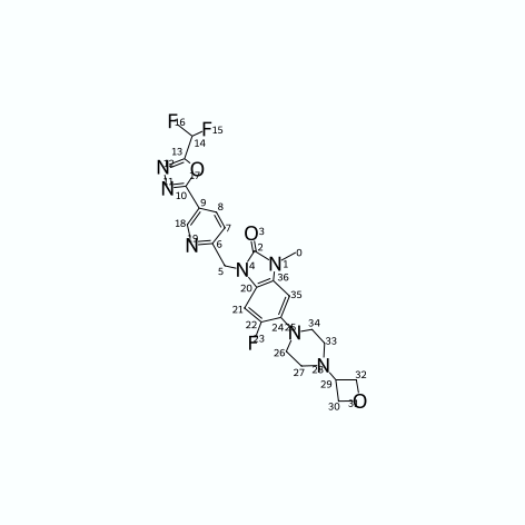 Cn1c(=O)n(Cc2ccc(-c3nnc(C(F)F)o3)cn2)c2cc(F)c(N3CCN(C4COC4)CC3)cc21